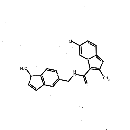 Cc1nc2ccc(Cl)cn2c1C(=O)NCc1ccc2c(ccn2C)c1